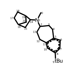 CN(C1CCc2ccc(C(C)(C)C)cc2CC1)C1CC2CCC1C2